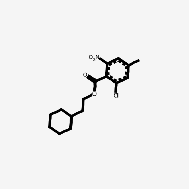 Cc1cc(Cl)c(C(=O)OCCC2CCCCC2)c([N+](=O)[O-])c1